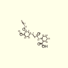 C#CCOc1cc(/C=C/C(=O)Cc2ccccc2C(=O)O)ccc1OC